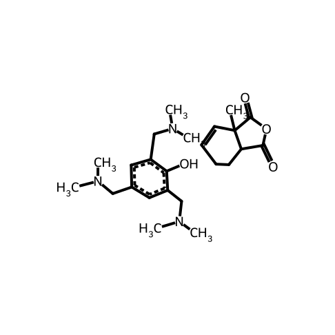 CC12C=CCCC1C(=O)OC2=O.CN(C)Cc1cc(CN(C)C)c(O)c(CN(C)C)c1